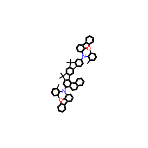 Cc1cccc(C)c1N(c1ccc2c(c1)C(C)(C)c1cc3c(cc1-2)-c1c(cc(N(c2c(C)cccc2C)c2cccc4c2oc2ccccc24)c2ccc4ccccc4c12)C3(C)C)c1cccc2c1oc1ccccc12